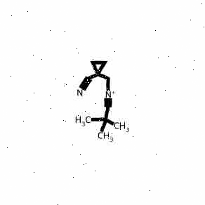 CC(C)(C)C#[N+]CC1(C#N)CC1